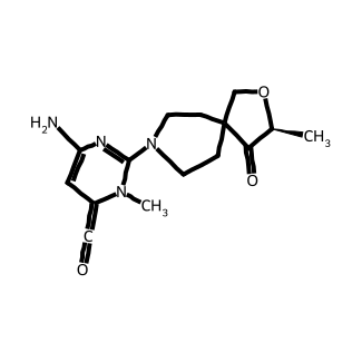 C[C@@H]1OCC2(CCN(C3=NC(N)=CC(=C=O)N3C)CC2)C1=O